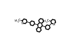 Cc1ccc(-c2ccc(-c3c4ccccc4c(-c4cccc(-c5ncccc5C)c4)c4ccccc34)cc2)cn1